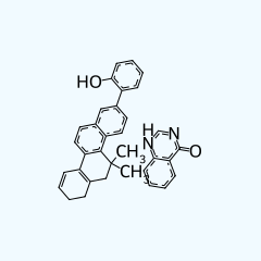 CC1(C)CC2=C(C=CCC2)c2ccc3cc(-c4ccccc4O)ccc3c21.O=c1nc[nH]c2ccccc12